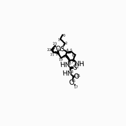 CCCSC1=CCC(=N)C(NC(=S)NC(=O)OC)=C1Cc1ccco1